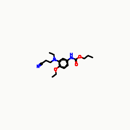 CCCOC(=O)Nc1ccc(OCC)c(N(CC)CCC#N)c1